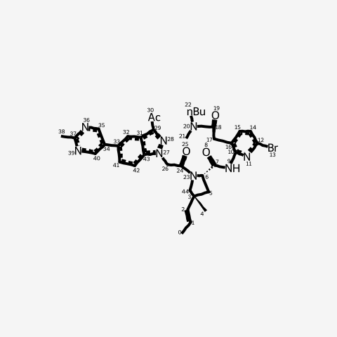 C/C=C/[C@@]1(C)C[C@@H](C(=O)Nc2nc(Br)ccc2CC(=O)N(C)CCCC)N(C(=O)Cn2nc(C(C)=O)c3cc(-c4cnc(C)nc4)ccc32)C1